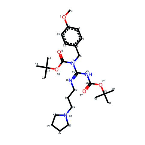 COc1ccc(CN(C(=O)OC(C)(C)C)/C(=N/CCCN2CCCC2)NC(=O)OC(C)(C)C)cc1